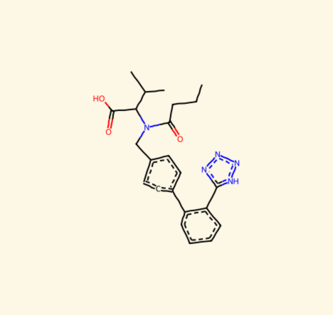 CCCC(=O)N(Cc1ccc(-c2ccccc2-c2nnn[nH]2)cc1)C(C(=O)O)C(C)C